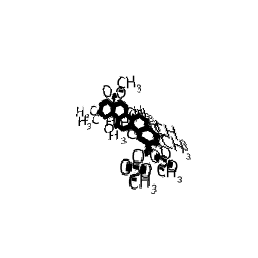 COC(=O)[C@]12CCC(C)(C)C[C@H]1[C@H]1C(=O)C=C3[C@@]4(C)C=C(COS(C)(=O)=O)[C@H](OS(C)(=O)=O)C(C)(C)[C@@H]4CC[C@@]3(C)[C@]1(C)CC2